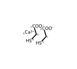 O=C([O-])CS.O=C([O-])CS.[Ca+2]